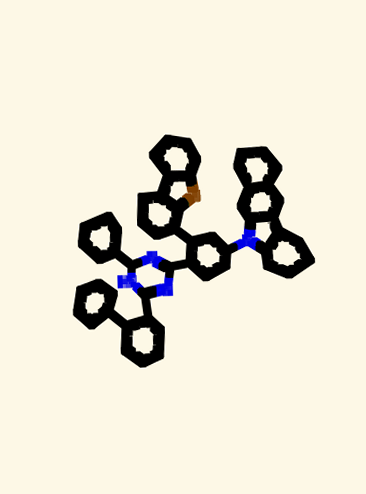 c1ccc(-c2ccccc2C2=NC(c3ccc(-n4c5ccccc5c5cc6ccccc6cc54)cc3-c3cccc4c3sc3ccccc34)=NC(c3ccccc3)N2)cc1